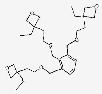 CCC1(CCOCc2cccc(COCCC3(CC)COC3)c2COCCC2(CC)COC2)COC1